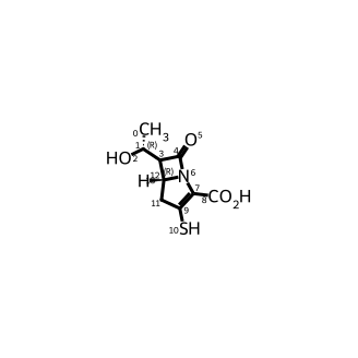 C[C@@H](O)C1C(=O)N2C(C(=O)O)=C(S)C[C@H]12